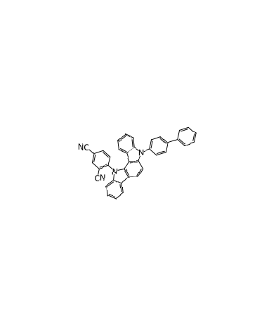 N#Cc1ccc(-n2c3ccccc3c3ccc4c(c5ccccc5n4-c4ccc(-c5ccccc5)cc4)c32)c(C#N)c1